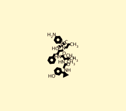 CC(C)CN(C[C@@H](O)[C@H](Cc1ccccc1)NC(=O)C(NC(=O)CNC1(c2cccc(O)c2)CC1)C(C)(C)C)S(=O)(=O)c1ccc(N)cc1